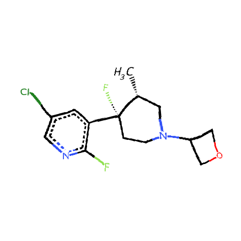 C[C@@H]1CN(C2COC2)CC[C@@]1(F)c1cc(Cl)cnc1F